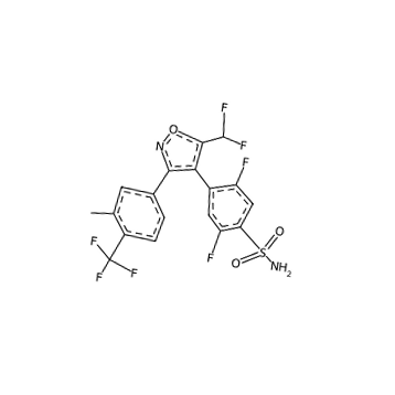 Cc1cc(-c2noc(C(F)F)c2-c2cc(F)c(S(N)(=O)=O)cc2F)ccc1C(F)(F)F